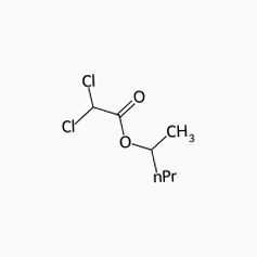 CCCC(C)OC(=O)C(Cl)Cl